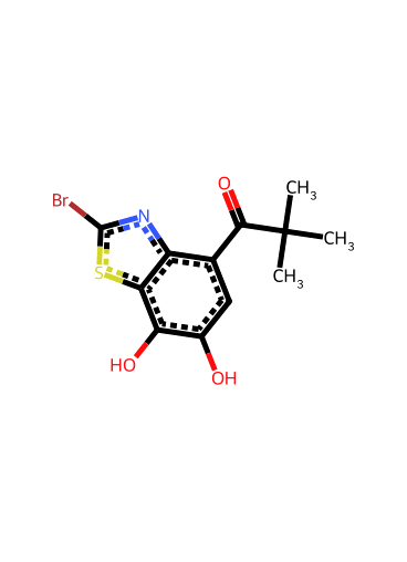 CC(C)(C)C(=O)c1cc(O)c(O)c2sc(Br)nc12